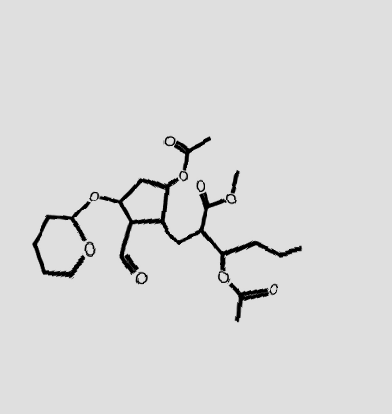 CCCC(OC(C)=O)C(CC1C(OC(C)=O)CC(OC2CCCCO2)C1C=O)C(=O)OC